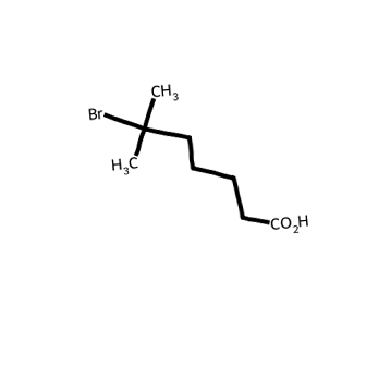 CC(C)(Br)CCCCC(=O)O